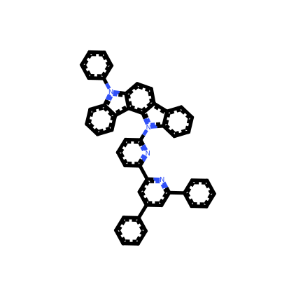 c1ccc(-c2cc(-c3ccccc3)nc(-c3cccc(-n4c5ccccc5c5ccc6c(c7ccccc7n6-c6ccccc6)c54)n3)c2)cc1